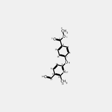 COC(=O)c1ccc(Oc2ccc(C=O)c(C)n2)cc1